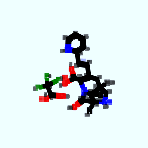 O=C(O)C(F)(F)F.O=C(O)C1=C(/C=C/c2ccccn2)C[C@@H]2CN[C@@H]3C(=O)N1[C@H]23